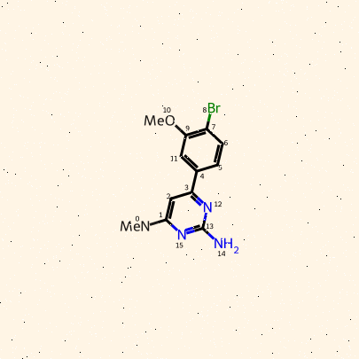 CNc1cc(-c2ccc(Br)c(OC)c2)nc(N)n1